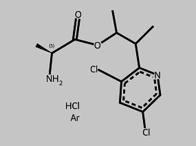 CC(OC(=O)[C@H](C)N)C(C)c1ncc(Cl)cc1Cl.Cl.[Ar]